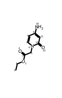 CCOC(=O)Cn1ccc(N)cc1=O